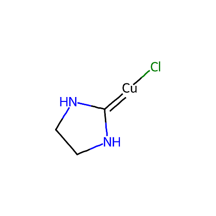 [Cl][Cu]=[C]1NCCN1